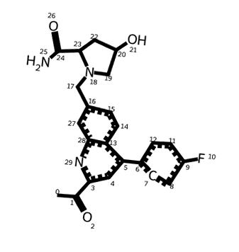 CC(=O)c1cc(-c2ccc(F)cc2)c2ccc(CN3CC(O)CC3C(N)=O)cc2n1